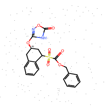 O=C(OCc1ccccc1)S(=O)(=O)C1C[C@H](Oc2noc(=O)[nH]2)Cc2ccccc21